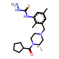 Cc1cc(CN2CCN(C(=O)C3CCCC3)[C@@H](C)C2)c(C)c(NC(=S)NN)c1